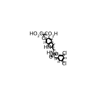 O=C(O)C(Oc1ccc2cc(CNS(=O)(=O)Cc3cc(Cl)cc(Cl)c3)[nH]c2c1)C(=O)O